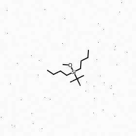 CCCC[Si](CCCC)(OC)C(C)(C)C